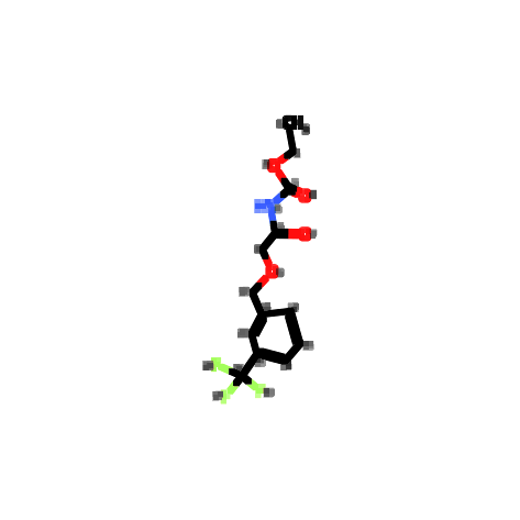 CCOC(=O)NC(=O)COCc1cccc(C(F)(F)F)c1